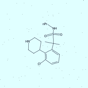 CCCNS(=O)(=O)C(C)(C)c1cccc(Cl)c1C1CCNCC1